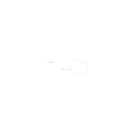 COCc1conn1